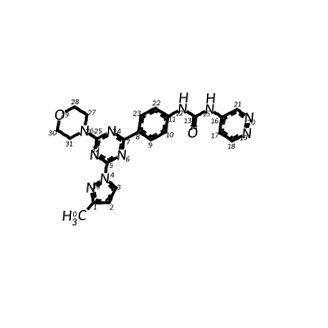 Cc1ccn(-c2nc(-c3ccc(NC(=O)Nc4ccnnc4)cc3)nc(N3CCOCC3)n2)n1